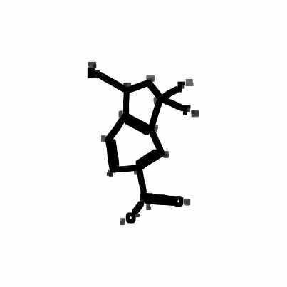 O=[N+]([O-])c1ccc2c(c1)C(F)(F)CC2Br